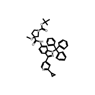 COC1(C(=O)Nc2ccc3c(-c4ccnc(C5CC5)c4)nn(C(c4ccccc4)(c4ccccc4)c4ccccc4)c3c2)CCN(C(=O)OC(C)(C)C)C1